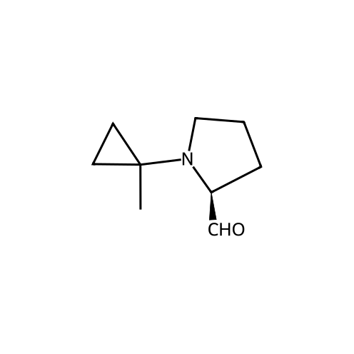 CC1(N2CCC[C@H]2C=O)CC1